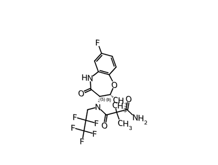 C[C@H]1Oc2ccc(F)cc2NC(=O)[C@H]1N(CC(F)(F)C(F)(F)F)C(=O)C(C)(C)C(N)=O